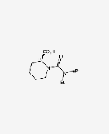 CCCN(CC)C(=O)N1CCCC[C@H]1C(=O)O